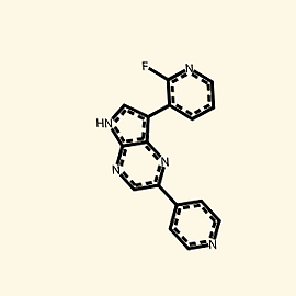 Fc1ncccc1-c1c[nH]c2ncc(-c3ccncc3)nc12